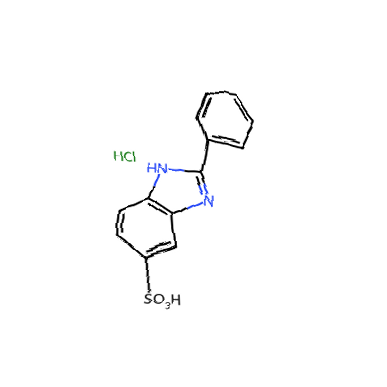 Cl.O=S(=O)(O)c1ccc2[nH]c(-c3ccccc3)nc2c1